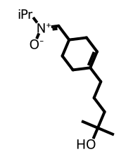 CC(C)/[N+]([O-])=C/C1CC=C(CCCC(C)(C)O)CC1